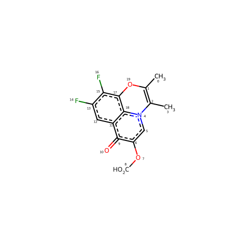 CC1=C(C)n2cc(OC(=O)O)c(=O)c3cc(F)c(F)c(c32)O1